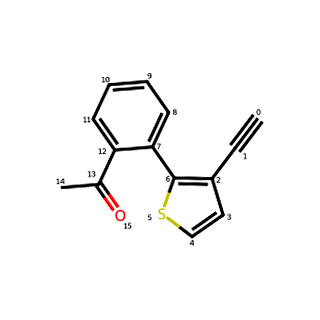 C#Cc1ccsc1-c1ccccc1C(C)=O